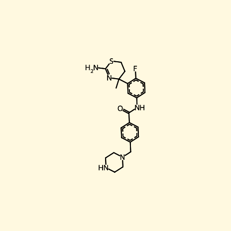 CC1(c2cc(NC(=O)c3ccc(CN4CCNCC4)cc3)ccc2F)CCSC(N)=N1